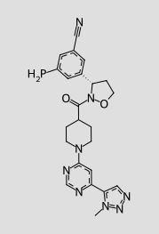 Cn1nncc1-c1cc(N2CCC(C(=O)N3OCC[C@H]3c3cc(P)cc(C#N)c3)CC2)ncn1